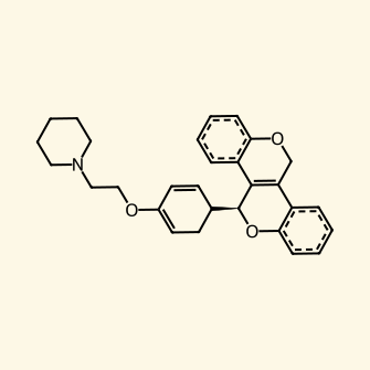 C1=CC([C@@H]2Oc3ccccc3C3=C2c2ccccc2OC3)CC=C1OCCN1CCCCC1